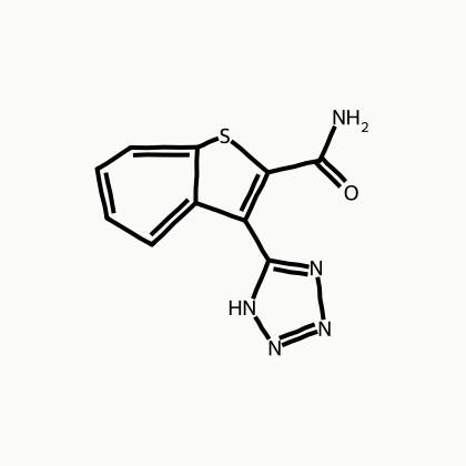 NC(=O)c1sc2ccccc2c1-c1nnn[nH]1